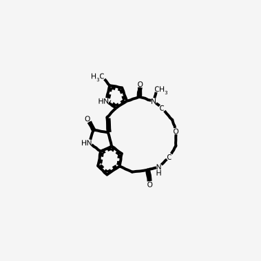 Cc1cc2c([nH]1)/C=C1\C(=O)Nc3ccc(cc31)CC(=O)NCCOCCN(C)C2=O